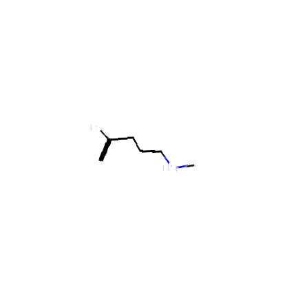 C=C(CCCNC(C)C)C(C)C